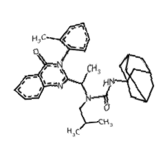 Cc1ccccc1-n1c(C(C)N(CC(C)C)C(=O)NC23CC4CC(CC(C4)C2)C3)nc2ccccc2c1=O